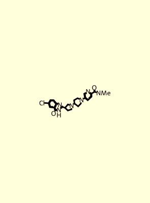 CNC(=O)c1ccc(N2CCC(N3CCC(c4nc5ccc(Cl)cc5c(=O)[nH]4)C3)CC2)cn1